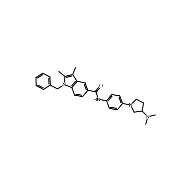 Cc1c(C)n(Cc2ccccc2)c2ccc(C(=O)Nc3ccc(N4CCC(N(C)C)C4)cc3)cc12